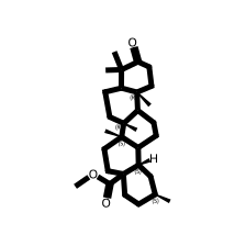 COC(=O)C12CC[C@H](C)C[C@H]1C1CCC3[C@@]4(C)CCC(=O)C(C)(C)C4CC[C@@]3(C)[C@@]1(C)CC2